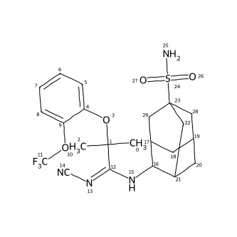 CC(C)(Oc1ccccc1OC(F)(F)F)/C(=N\C#N)NC1C2CC3CC1CC(S(N)(=O)=O)(C3)C2